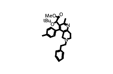 COC(=O)C(OC(C)(C)C)c1c(C)nc2c(c1-c1ccc(C)cc1)CN(CCc1ccccc1)CC2